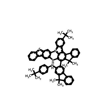 CC(C)(C)c1ccc(Nc2cc3c(cc2-c2c4c(c5c6cc(C(C)(C)C)ccc6n6c5c2Bc2cc5c(cc2-6)sc2ccccc25)-c2ccccc2C4(C)C)-c2ccccc2C3(C)C)cc1